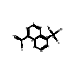 O=C(F)c1cccc2c(C(F)(F)F)cccc12